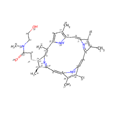 CCC1=C(C)c2cc3[nH]c(cc4nc(c(C)c5cc(C)c(cc1n2)[nH]5)[C@@H](CCC(=O)N(C)CCO)[C@@H]4C)c(C)c3CC